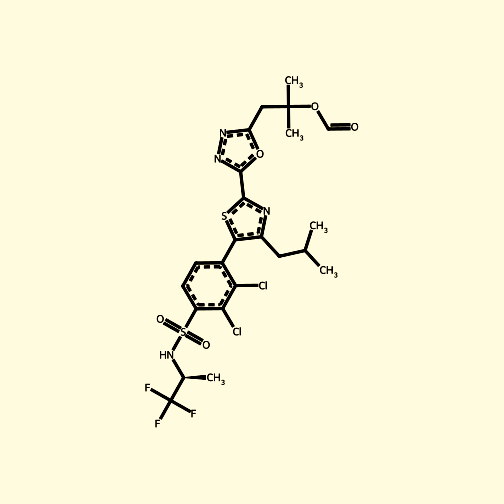 CC(C)Cc1nc(-c2nnc(CC(C)(C)OC=O)o2)sc1-c1ccc(S(=O)(=O)N[C@@H](C)C(F)(F)F)c(Cl)c1Cl